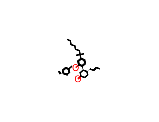 C=C.CC=CC[C@@H]1CCC(=O)C[C@H]1c1ccc(C(C)(C)CCCCCC)cc1OCc1ccccc1